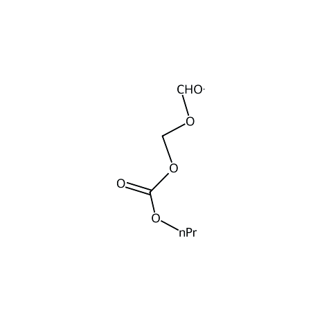 CCCOC(=O)OCO[C]=O